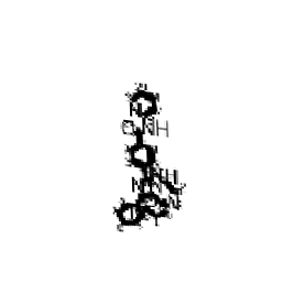 CCC(=O)N1C2CCC1C(C1=C3C=NC=C[N+]3(N)C(c3ccc(C(=O)Nc4ccccn4)cc3)=N1)C2